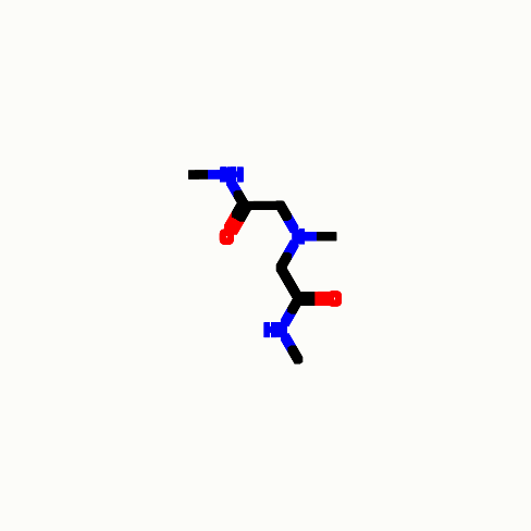 CNC(=O)CN(C)CC(=O)NC